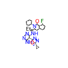 CC[C@H](Nc1ncnc(N)c1-c1nnc(C2CC2)o1)c1cc2cccc(F)c2c(=O)n1-c1ccccc1